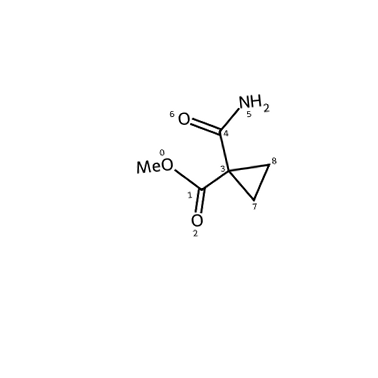 COC(=O)C1(C(N)=O)CC1